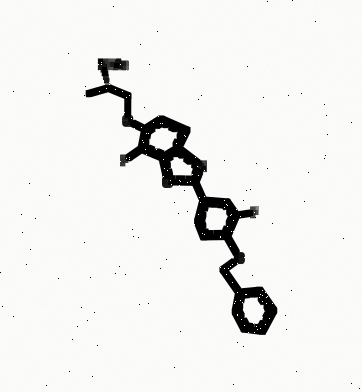 CC(=O)N[C@@H](C)COc1ccc2nc(-c3ccc(OCc4ccccc4)c(F)c3)oc2c1F